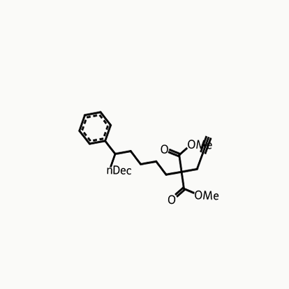 C#CCC(CCCCC(CCCCCCCCCC)c1ccccc1)(C(=O)OC)C(=O)OC